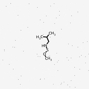 COSNCC(C)C